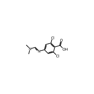 CN(C)C=Nc1cc(Cl)c(C(=O)O)c(Cl)c1